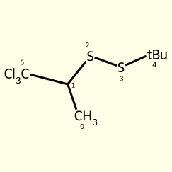 CC(SSC(C)(C)C)C(Cl)(Cl)Cl